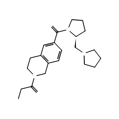 CCC(=O)N1CCc2cc(C(=O)N3CCC[C@H]3CN3CCCC3)ccc2C1